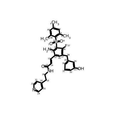 Cc1cc(C)c(S(=O)(=O)c2c(N)c(C=CC(=O)NCCc3ccncc3)cc(Cc3cccc(O)c3)c2F)c(C)c1